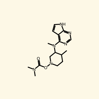 CC1CCN(OC(=O)N(C)C)CC1N(C)c1ncnc2[nH]ccc12